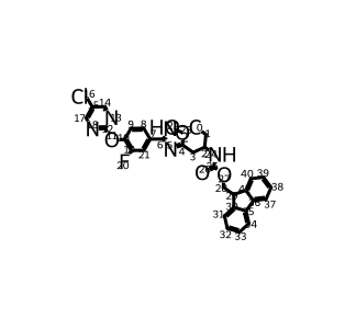 O=C(O)CC(Cc1nc(-c2ccc(Oc3ncc(Cl)cn3)c(F)c2)no1)NC(=O)OCC1c2ccccc2-c2ccccc21